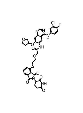 O=C1CCC(N2C(=O)c3cccc(SCCOCC(=O)Nc4cc5c(Nc6ccc(F)c(Cl)c6)ncnc5cc4OC4CCOC4)c3C2=O)C(=O)N1